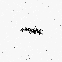 CS(=O)(=O)CCn1cc(-c2ccc(-c3nc4nc(O[C@H]5COC(CO)[C@@H](O)C5)[nH]c4cc3Cl)cc2)cn1